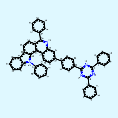 c1ccc(-c2nc(-c3ccccc3)nc(-c3ccc(-c4ccc5c(c4)nc(-c4ccccc4)c4ccc6c7ccccc7n(-c7ccccc7)c6c45)cc3)n2)cc1